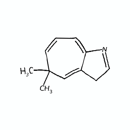 CC1(C)C=CC=C2N=CCC2=C1